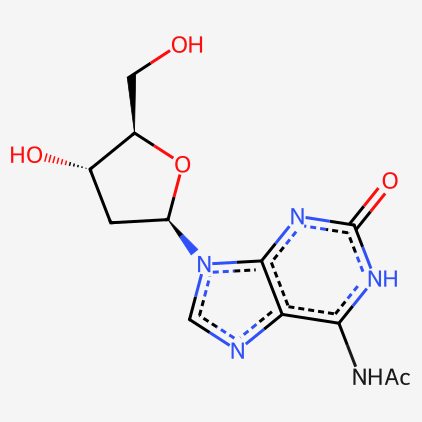 CC(=O)Nc1[nH]c(=O)nc2c1ncn2[C@H]1C[C@H](O)[C@@H](CO)O1